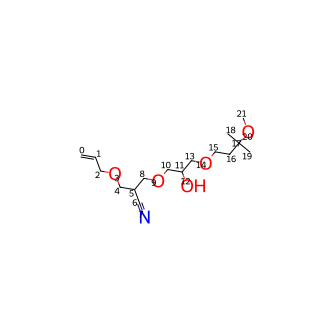 C=CCOCC(C#N)COCC(O)COCCC(C)(C)OC